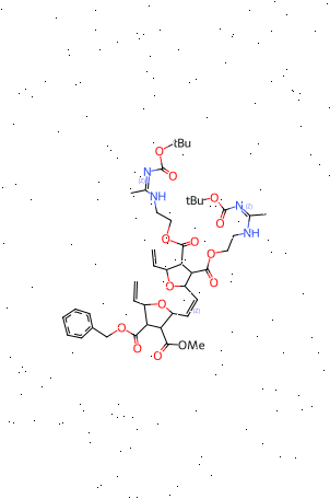 C=CC1OC(/C=C\C2OC(C=C)C(C(=O)OCCN/C(C)=N\C(=O)OC(C)(C)C)C2C(=O)OCCN/C(C)=N\C(=O)OC(C)(C)C)C(C(=O)OC)C1C(=O)OCc1ccccc1